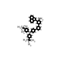 CC(C)(C)c1ccc(N(c2ccc(-c3cccc(-c4ccc(N)c(C5=Cc6cccc7cccc5c67)c4)c3)cc2)c2ccc(C(C)(C)C)cc2)cc1